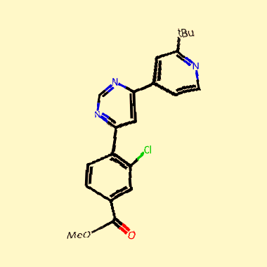 COC(=O)c1ccc(-c2cc(-c3ccnc(C(C)(C)C)c3)ncn2)c(Cl)c1